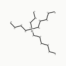 CCCCCC[PH](CCC)(CCCC)CCCCC